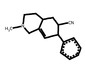 CN1CCC2CC(C#N)C(c3ccccc3)C=C2C1